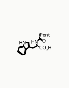 CCCC(C)C(=O)N[C@@H](Cc1c[nH]c2ccccc12)C(=O)O